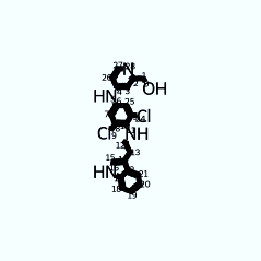 OCc1cc(Nc2cc(Cl)c(NCCc3c[nH]c4ccccc34)c(Cl)c2)ccn1